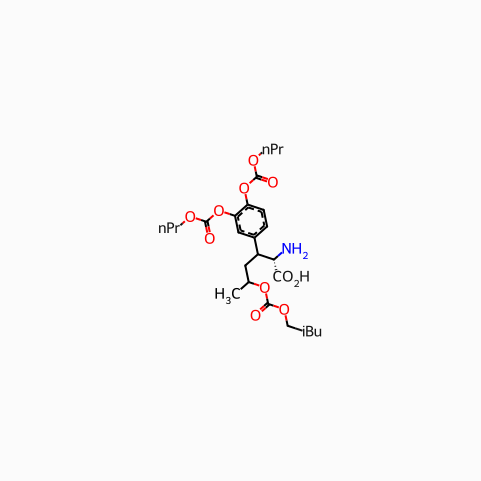 CCCOC(=O)Oc1ccc(C(CC(C)OC(=O)OCC(C)CC)[C@H](N)C(=O)O)cc1OC(=O)OCCC